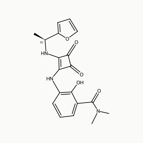 C[C@H](Nc1c(Nc2cccc(C(=O)N(C)C)c2O)c(=O)c1=O)c1ccco1